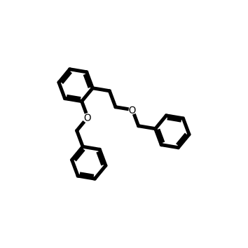 c1ccc(COCCc2ccccc2OCc2ccccc2)cc1